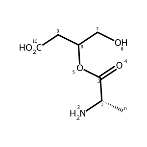 C[C@H](N)C(=O)OC(CO)CC(=O)O